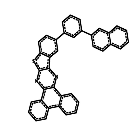 c1cc(-c2ccc3ccccc3c2)cc(-c2ccc3sc4nc5c6ccccc6c6ccccc6c5nc4c3c2)c1